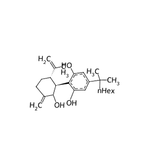 C=C1CC[C@H](C(=C)C)[C@@H](c2c(O)cc(C(C)(C)CCCCCC)cc2O)C1O